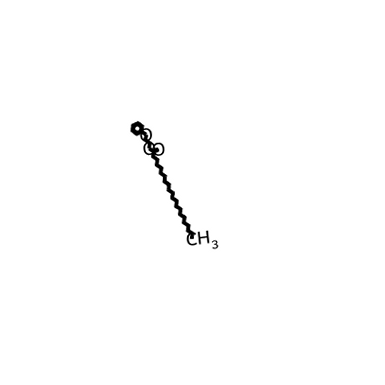 CCCCCCCCCCCCCCCCCCCCCC(=O)OCCOc1ccccc1